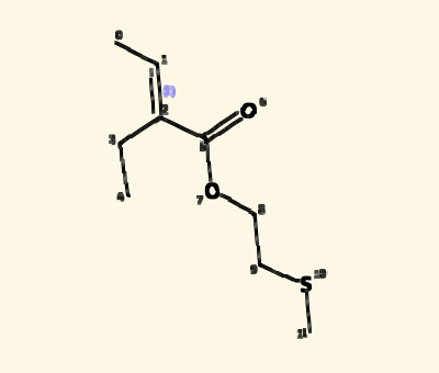 C/C=C(\CC)C(=O)OCCSC